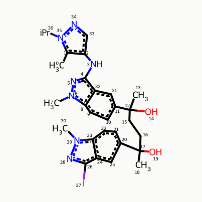 Cc1c(Nc2nn(C)c3ccc(C(C)(O)CCC(C)(O)c4ccc5c(c4)c(I)nn5C)cc23)cnn1C(C)C